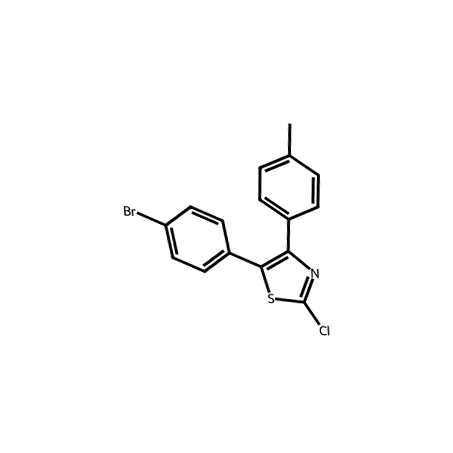 Cc1ccc(-c2nc(Cl)sc2-c2ccc(Br)cc2)cc1